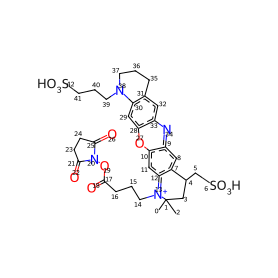 CC1(C)CC(CS(=O)(=O)O)c2cc3c(cc2=[N+]1CCCC(=O)ON1C(=O)CCC1=O)Oc1cc2c(cc1N=3)CCCN2CCCS(=O)(=O)O